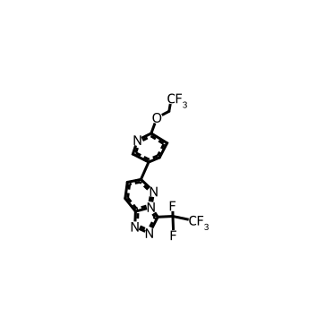 FC(F)(F)COc1ccc(-c2ccc3nnc(C(F)(F)C(F)(F)F)n3n2)cn1